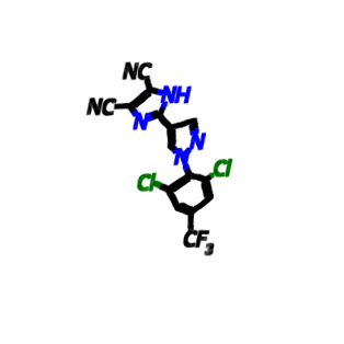 N#Cc1nc(-c2cnn(-c3c(Cl)cc(C(F)(F)F)cc3Cl)c2)[nH]c1C#N